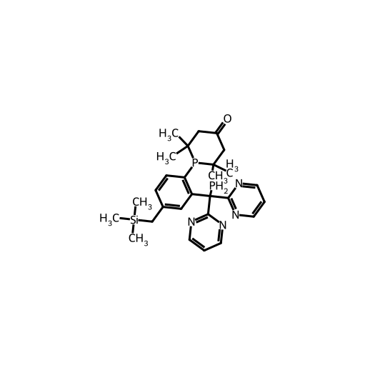 CC1(C)CC(=O)CC(C)(C)P1c1ccc(C[Si](C)(C)C)cc1C(P)(c1ncccn1)c1ncccn1